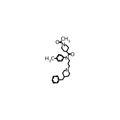 CC(=O)N1CCC(C(=O)N(CCCN2CCC(Cc3ccccc3)CC2)c2ccc(C)cc2)CC1